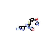 CN1CCN(C(=O)c2cccc(-c3cc4c(N5CCOCC5)nc(-c5cnc6c(c5)CCN6)nc4s3)c2)CC1